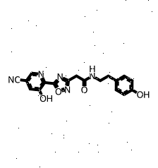 N#Cc1cnc(-c2nc(CC(=O)NCCc3ccc(O)cc3)no2)c(O)c1